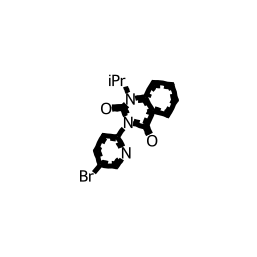 CC(C)n1c(=O)n(-c2ccc(Br)cn2)c(=O)c2ccccc21